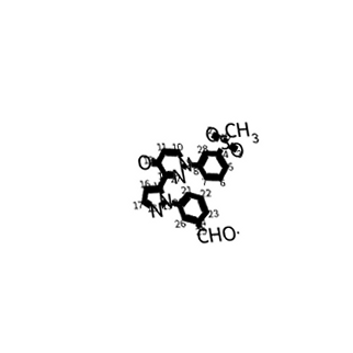 CS(=O)(=O)c1cccc(-n2ccc(=O)c(-c3ccnn3-c3cccc([C]=O)c3)n2)c1